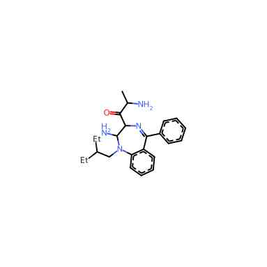 CCC(CC)CN1c2ccccc2C(c2ccccc2)=NC(C(=O)C(C)N)C1N